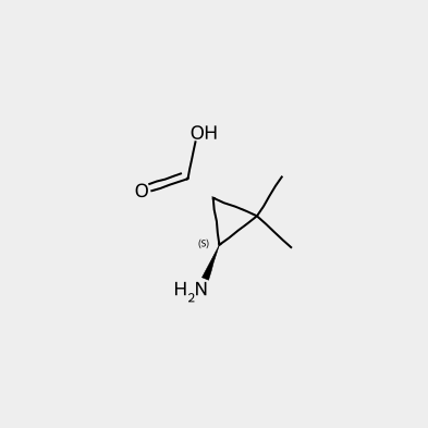 CC1(C)C[C@@H]1N.O=CO